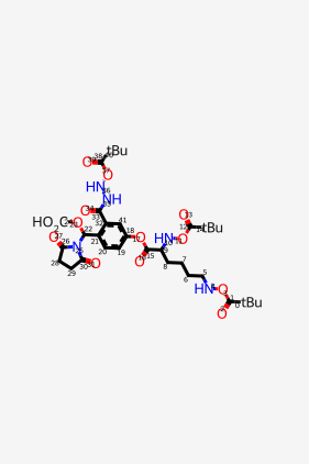 CC(C)(C)C(=O)ONCCCCC(NOC(=O)C(C)(C)C)C(=O)Oc1ccc(C(OC(=O)O)N2C(=O)CCC2=O)c(C(=O)NNOC(=O)C(C)(C)C)c1